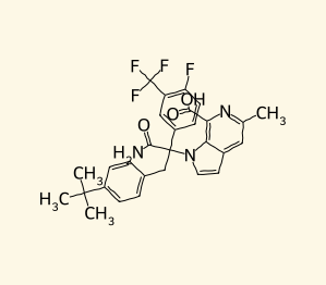 Cc1cc2ccn(C(Cc3ccc(C(C)(C)C)cc3)(C(N)=O)c3ccc(F)c(C(F)(F)F)c3)c2c(C(=O)O)n1